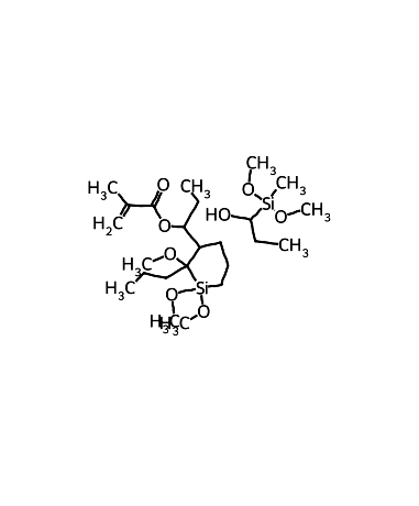 C=C(C)C(=O)OC(CC)C1CCC[Si](OC)(OC)C1(CCC)OC.CCC(O)[Si](C)(OC)OC